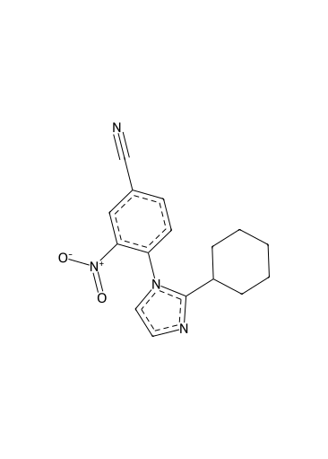 N#Cc1ccc(-n2ccnc2C2CCCCC2)c([N+](=O)[O-])c1